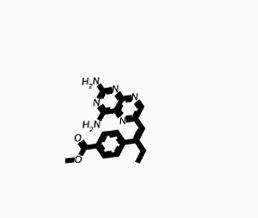 CCC(=Cc1cnc2nc(N)nc(N)c2n1)c1ccc(C(=O)OC)cc1